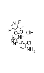 C[C@@H](OC(=O)Nc1c(-c2ccc(N)c(Cl)n2)nnn1C)c1cc(F)cnc1F.Cl